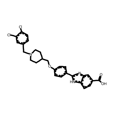 O=C(O)c1ccc2[nH]c(-c3ccc(OCC4CCN(Cc5ccc(Cl)c(Cl)c5)CC4)cc3)nc2c1